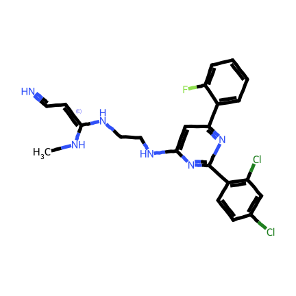 CN/C(=C\C=N)NCCNc1cc(-c2ccccc2F)nc(-c2ccc(Cl)cc2Cl)n1